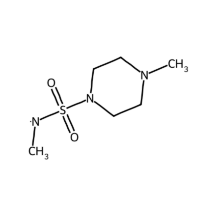 C[N]S(=O)(=O)N1CCN(C)CC1